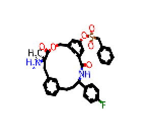 CC1(N)Cc2cccc(c2)CCC(c2ccc(F)cc2)NC(=O)c2cc(cc(OS(=O)(=O)Cc3ccccc3)c2)COC1=O